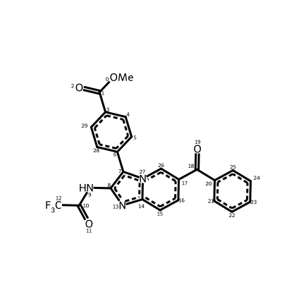 COC(=O)c1ccc(-c2c(NC(=O)C(F)(F)F)nc3ccc(C(=O)c4ccccc4)cn23)cc1